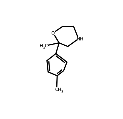 Cc1ccc(C2(C)CNCCO2)cc1